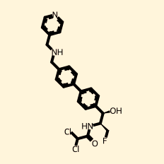 O=C(N[C@H](CF)[C@H](O)c1ccc(-c2ccc(CNCc3ccncc3)cc2)cc1)C(Cl)Cl